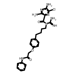 N=C(N)N(CCCCc1ccc(OCC(=O)Nc2ccccc2)cc1)C(=O)c1nc(Cl)c(N)nc1N